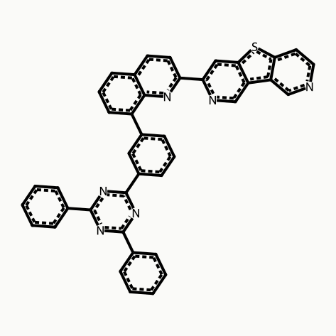 c1ccc(-c2nc(-c3ccccc3)nc(-c3cccc(-c4cccc5ccc(-c6cc7sc8ccncc8c7cn6)nc45)c3)n2)cc1